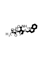 CN(C)C(=O)Nc1scc(SCc2ccc3ccccc3n2)c1C(N)=O